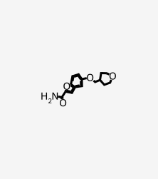 NC(=O)c1cc2cc(OCC3CCOCC3)ccc2o1